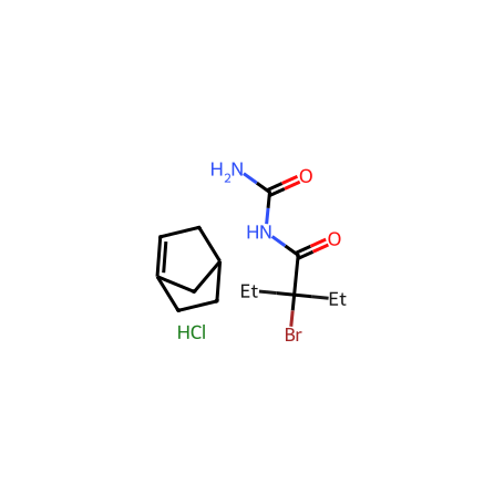 C1=C2CCC(C1)C2.CCC(Br)(CC)C(=O)NC(N)=O.Cl